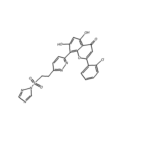 O=c1cc(-c2ccccc2Cl)oc2c(-c3ccc(CCS(=O)(=O)n4cncn4)nn3)c(O)cc(O)c12